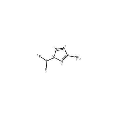 Nc1nnn(C(F)F)n1